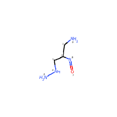 NCC(CNN)N=O